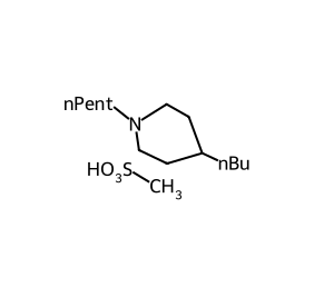 CCCCCN1CCC(CCCC)CC1.CS(=O)(=O)O